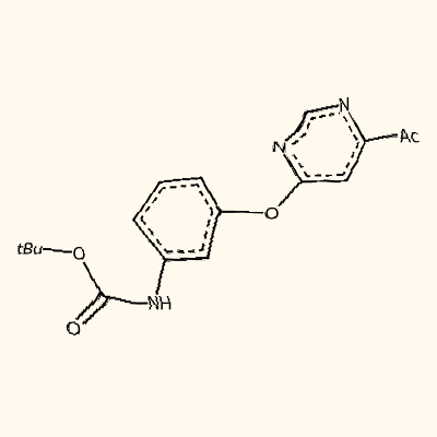 CC(=O)c1cc(Oc2cccc(NC(=O)OC(C)(C)C)c2)ncn1